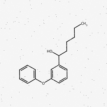 CCCCCC(O)c1cccc(Oc2ccccc2)c1